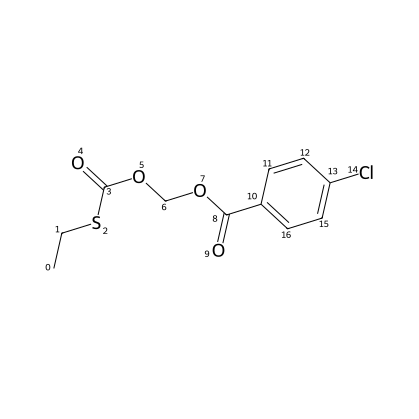 CCSC(=O)OCOC(=O)c1ccc(Cl)cc1